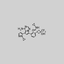 Nc1ncnn2c(-c3cccc([C@]4(C(=O)NC5CC5)C[C@](O)(C(F)(F)F)C4)c3)cc(-c3ccnn3C3CC3)c12